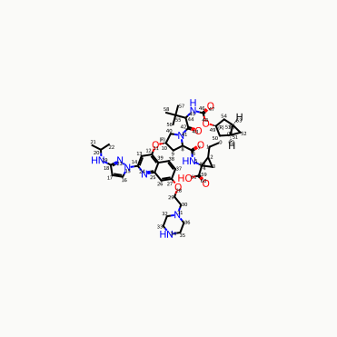 CCC1C[C@]1(NC(=O)C1C[C@@H](Oc2cc(-n3ccc(NC(C)C)n3)nc3cc(OCCN4CCNCC4)ccc23)CN1C(=O)C(NC(=O)O[C@@H]1C[C@@H]2C[C@@H]2C1)C(C)(C)C)C(=O)O